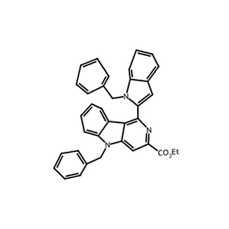 CCOC(=O)c1cc2c(c(-c3cc4ccccc4n3Cc3ccccc3)n1)c1ccccc1n2Cc1ccccc1